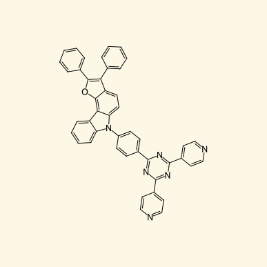 c1ccc(-c2oc3c(ccc4c3c3ccccc3n4-c3ccc(-c4nc(-c5ccncc5)nc(-c5ccncc5)n4)cc3)c2-c2ccccc2)cc1